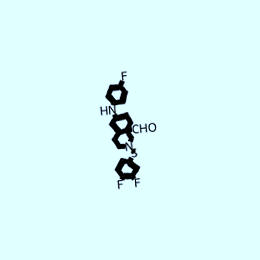 O=CC12CC=C(Nc3ccc(F)cc3)C=C1CCN(Sc1ccc(F)c(F)c1)C2